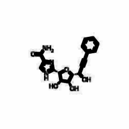 NC(=O)c1c[nH]c([C@@H]2O[C@H](C(O)C#Cc3ccccc3)[C@@H](O)[C@H]2O)n1